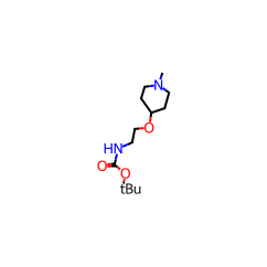 CN1CCC(OCCNC(=O)OC(C)(C)C)CC1